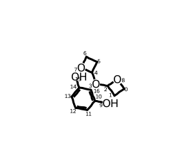 C1CC(OC2CCO2)O1.Oc1cccc(O)c1